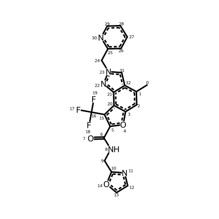 Cc1cc2oc(C(=O)NCc3ncco3)c(C(F)(F)F)c2c2nn(Cc3ccccn3)cc12